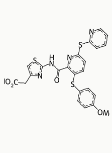 COc1ccc(Sc2ccc(Sc3ccccn3)nc2C(=O)Nc2nc(CC(=O)O)cs2)cc1